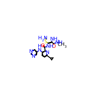 CNC(=O)/C(N)=C(\NC(=O)c1nc(C2CC2)ccc1Nc1cncnc1)SN